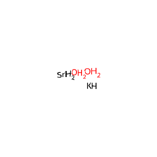 O.O.[KH].[SrH2]